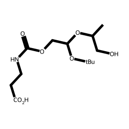 CC(CO)OC(COC(=O)NCCC(=O)O)OC(C)(C)C